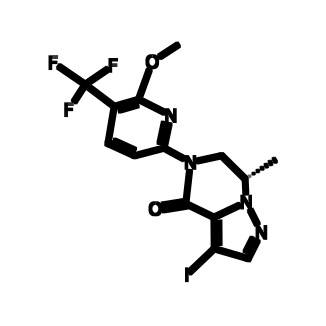 COc1nc(N2C[C@H](C)n3ncc(I)c3C2=O)ccc1C(F)(F)F